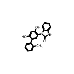 Cc1ccccc1-c1cc(-n2c(=O)[nH]c3ccccc32)c(O)cc1O